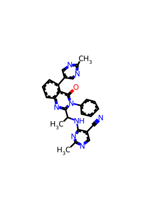 Cc1ncc(-c2cccc3nc(C(C)Nc4nc(C)ncc4C#N)n(-c4ccccc4)c(=O)c23)cn1